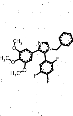 COc1cc(-c2ncn(Cc3ccccc3)c2-c2cc(F)c(F)cc2F)cc(OC)c1OC